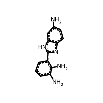 Nc1ccc2nc(-c3cccc(N)c3N)[nH]c2c1